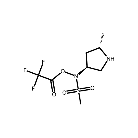 C[C@H]1C[C@H](N(OC(=O)C(F)(F)F)S(C)(=O)=O)CN1